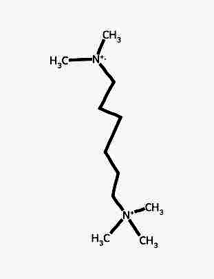 C[N+](C)CCCCCC[N+](C)(C)C